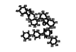 c1ccc(-c2ccc(-c3nc(-c4ccccc4)nc(-c4cccc5c4oc4c(-c6cccc7cc8c(cc67)sc6ccccc68)cccc45)n3)cc2)cc1